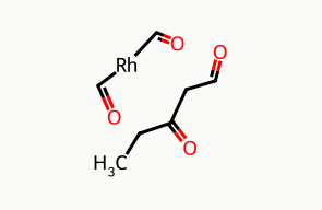 CCC(=O)CC=O.O=[CH][Rh][CH]=O